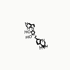 O[C@@H]1[C@@H](CCc2ccc3c(c2)N=C[C@@H]2C[C@H]32)C[C@@H](n2ccc3cncnc32)[C@@H]1O